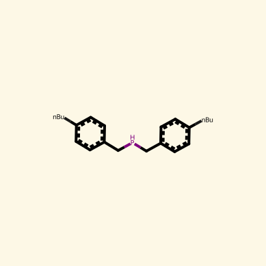 CCCCc1ccc(CPCc2ccc(CCCC)cc2)cc1